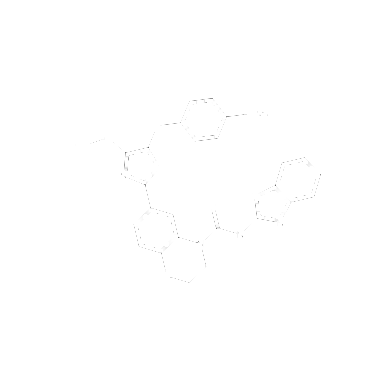 COc1ccc(Oc2sc(-c3ccc4c(c3)N(C(=O)Nc3nc5ccccc5s3)CCO4)nc2OC(=O)O)cc1